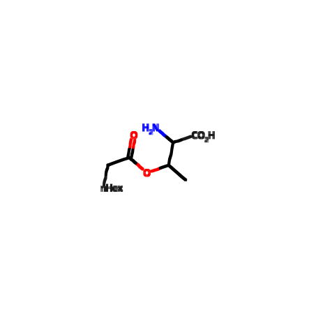 CCCCCCCC(=O)OC(C)C(N)C(=O)O